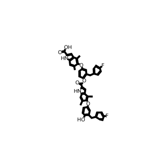 Cc1cc2[nH]c(C(=O)O)cc2c(C)c1Oc1ccc(OC(=O)c2cc3c(C)c(Oc4ccc(O)c(Cc5ccc(F)cc5)c4)c(C)cc3[nH]2)c(Cc2ccc(F)cc2)c1